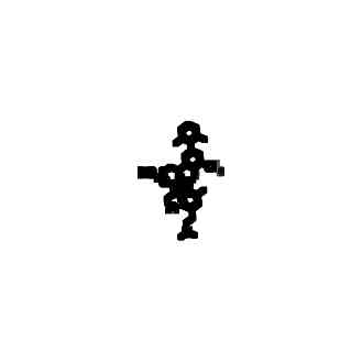 Cc1cccc(C)c1-c1cc(C(CC(=O)O)NC(=O)C(CC(C)C)n2cc(CCN(C)C)cc(C)c2=O)c(F)c(C(F)(F)F)c1